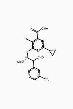 COC(=O)c1nc(C2CC2)nc(N[C@@H](OC)C(C=O)c2cccc(C(F)(F)F)c2)c1Cl